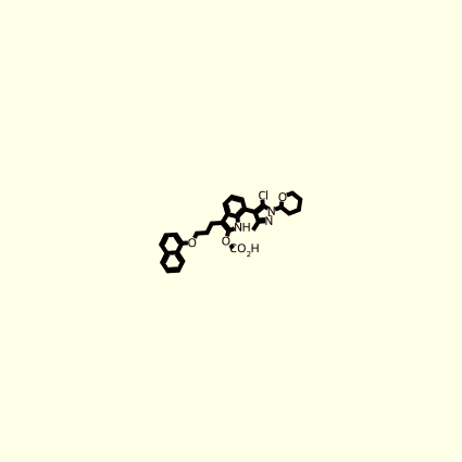 Cc1nn(C2CCCCO2)c(Cl)c1-c1cccc2c(CCCOc3cccc4ccccc34)c(OC(=O)O)[nH]c12